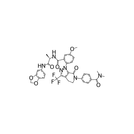 COc1ccc(-n2nc(C(F)(F)F)c3c2C(=O)N(c2ccc(C(=O)N(C)C)cc2)CC3)c(C(=O)N[C@H](C)C(=O)Nc2ccc3c(c2)OCO3)c1